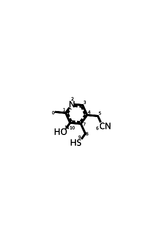 Cc1ncc(CC#N)c(CS)c1O